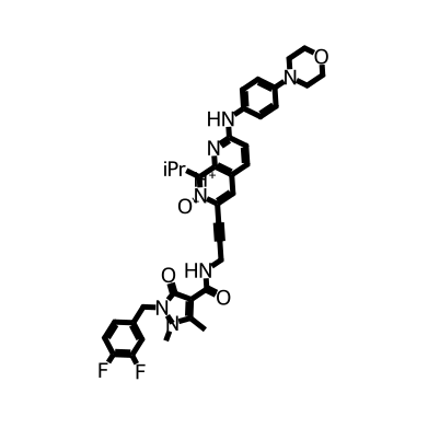 Cc1c(C(=O)NCC#CC2=Cc3ccc(Nc4ccc(N5CCOCC5)cc4)nc3C(C(C)C)[NH+]2[O-])c(=O)n(Cc2ccc(F)c(F)c2)n1C